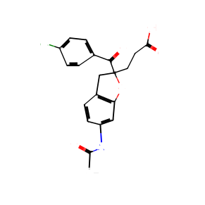 CC(=O)Nc1ccc2c(c1)OC(CCC(=O)O)(C(=O)c1ccc(Cl)cc1)C2